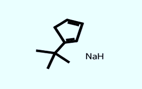 CC(C)(C)C1=CC=CC1.[NaH]